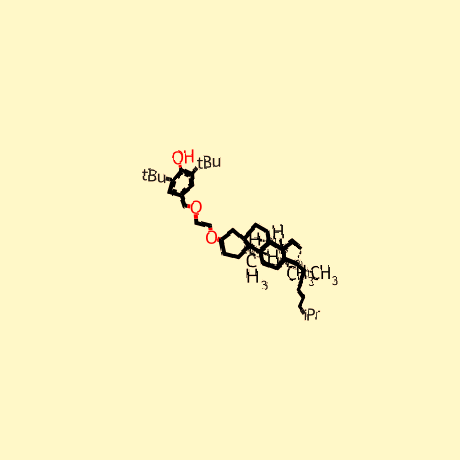 CC(C)CCC[C@@H](C)[C@H]1CC[C@H]2[C@@H]3CCC4CC(OCCOCc5cc(C(C)(C)C)c(O)c(C(C)(C)C)c5)CC[C@]4(C)[C@H]3CC[C@]12C